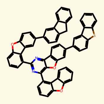 c1ccc2c(c1)Cc1ccc(-c3ccc4oc5cccc(-c6nc(-c7cccc8oc9ccccc9c78)c7oc8cc(-c9ccc%10sc%11ccccc%11c%10c9)ccc8c7n6)c5c4c3)cc1-2